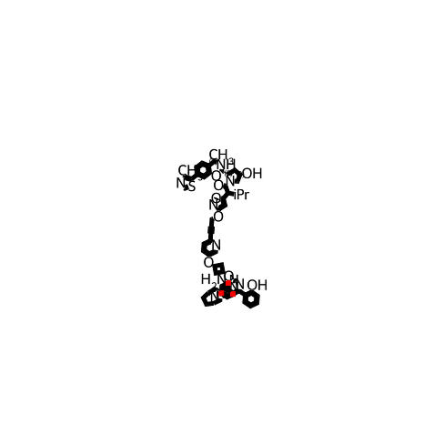 Cc1ncsc1-c1ccc([C@H](C)NC(=O)[C@@H]2C[C@@H](O)CN2C(=O)C(c2cc(OCC#Cc3ccc(O[C@H]4C[C@H](Oc5cc(N6C7CCC6CN(c6cc(-c8ccccc8O)nnc6N)C7)ccn5)C4)cn3)no2)C(C)C)cc1